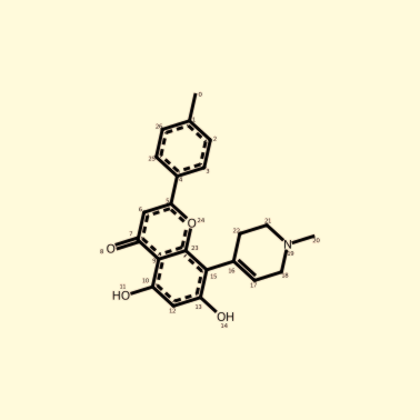 Cc1ccc(-c2cc(=O)c3c(O)cc(O)c(C4=CCN(C)CC4)c3o2)cc1